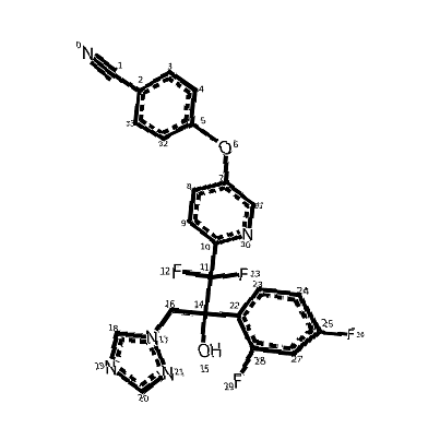 N#Cc1ccc(Oc2ccc(C(F)(F)C(O)(Cn3cncn3)c3ccc(F)cc3F)nc2)cc1